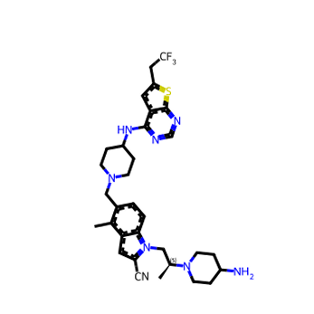 Cc1c(CN2CCC(Nc3ncnc4sc(CC(F)(F)F)cc34)CC2)ccc2c1cc(C#N)n2C[C@H](C)N1CCC(N)CC1